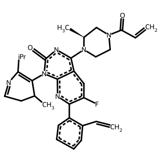 C=CC(=O)N1CCN(c2nc(=O)n(C3=C(C(C)C)N=CCC3C)c3nc(-c4ccccc4C=C)c(F)cc23)[C@@H](C)C1